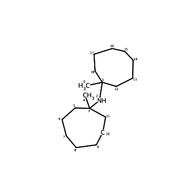 CC1(NC2(C)CCCCCCC2)CCCCCCC1